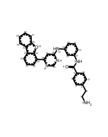 NCCc1ccc(C(=O)Nc2cccc(Nc3cc(-c4cccc5c4oc4ccccc45)ncn3)c2)cc1